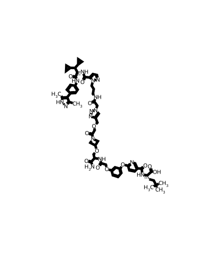 Cc1n[nH]c(C)c1-c1ccc(NC(=O)[C@@H](NC(=O)c2ccnn2CCCNC(=O)Cn2cc(COCC(=O)N3CC(OCC(NC(=O)COc4cccc(Oc5ccc(C(=O)N[C@@H](CCC(C)(C)C)C(=O)O)cn5)c4)C(N)=O)C3)nn2)C(C2CC2)C2CC2)cc1